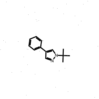 CC(C)(C)n1cc(-c2[c]cccc2)cn1